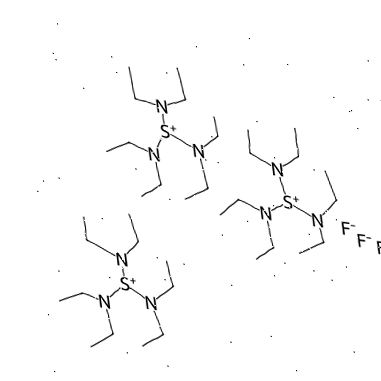 CCN(CC)[S+](N(CC)CC)N(CC)CC.CCN(CC)[S+](N(CC)CC)N(CC)CC.CCN(CC)[S+](N(CC)CC)N(CC)CC.[F-].[F-].[F-]